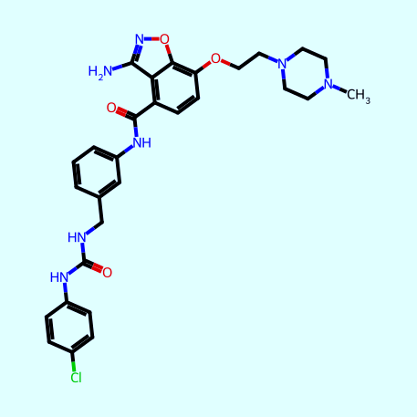 CN1CCN(CCOc2ccc(C(=O)Nc3cccc(CNC(=O)Nc4ccc(Cl)cc4)c3)c3c(N)noc23)CC1